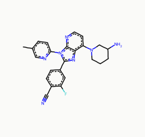 Cc1ccc(-n2c(-c3ccc(C#N)c(F)c3)nc3c(N4CCCC(N)C4)ccnc32)nc1